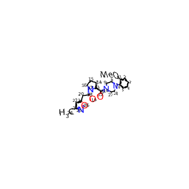 COc1ccccc1N1CCN(C(=O)C2CCCN2C(=O)Cc2cc(C)no2)CC1